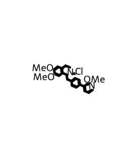 COc1cc2c(cc1OC)C(Cc1ccc(-c3cccnc3OC)cc1)N(CCl)CC2